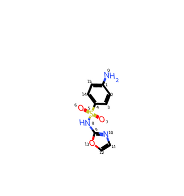 Nc1ccc(S(=O)(=O)Nc2ncco2)cc1